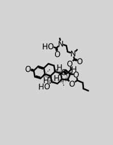 CCCC1O[C@H]2C[C@H]3[C@@H]4CCC5=CC(=O)C=C[C@]5(C)[C@H]4[C@@H](O)C[C@]3(C)[C@]2(C(=O)COC(=O)N(C)CCN(C)C(=O)O)O1